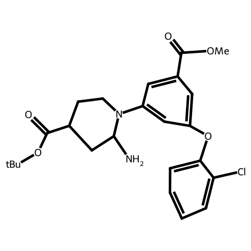 COC(=O)c1cc(Oc2ccccc2Cl)cc(N2CCC(C(=O)OC(C)(C)C)CC2N)c1